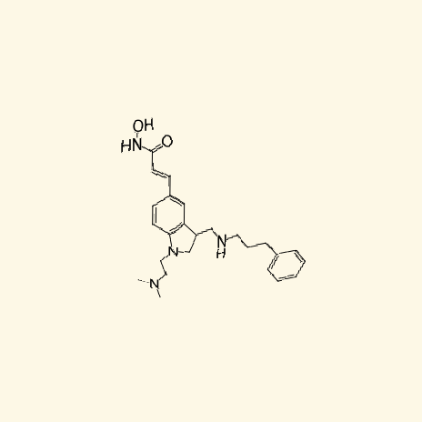 CN(C)CCN1CC(CNCCCc2ccccc2)c2cc(/C=C/C(=O)NO)ccc21